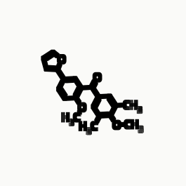 COc1ccc(-c2ccco2)cc1C(=O)c1cc(C)c(OC)c(C)c1